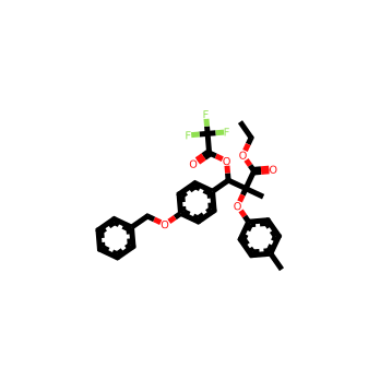 CCOC(=O)C(C)(Oc1ccc(C)cc1)C(OC(=O)C(F)(F)F)c1ccc(OCc2ccccc2)cc1